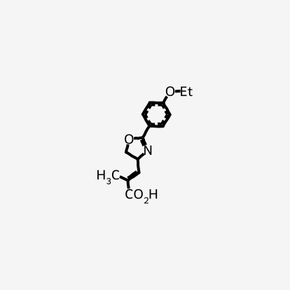 CCOc1ccc(C2=NC(C=C(C)C(=O)O)CO2)cc1